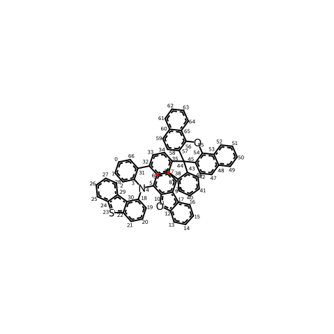 c1ccc(N(c2cccc3c2oc2ccccc23)c2cccc3sc4ccccc4c23)c(-c2ccc3c(c2)-c2ccccc2C32c3ccc4ccccc4c3Oc3c2ccc2ccccc32)c1